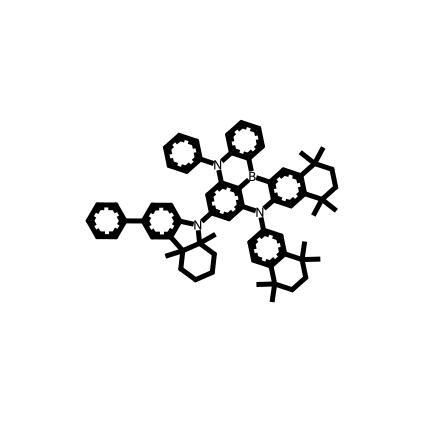 CC1(C)CCC(C)(C)c2cc(N3c4cc5c(cc4B4c6ccccc6N(c6ccccc6)c6cc(N7c8ccc(-c9ccccc9)cc8C8(C)CCCCC78C)cc3c64)C(C)(C)CCC5(C)C)ccc21